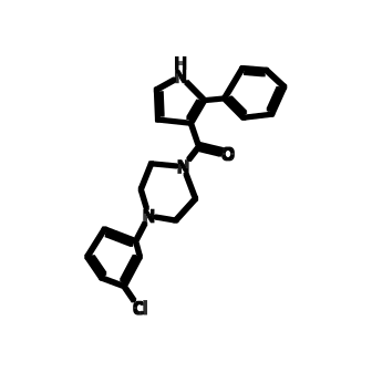 O=C(c1cc[nH]c1-c1ccccc1)N1CCN(c2cccc(Cl)c2)CC1